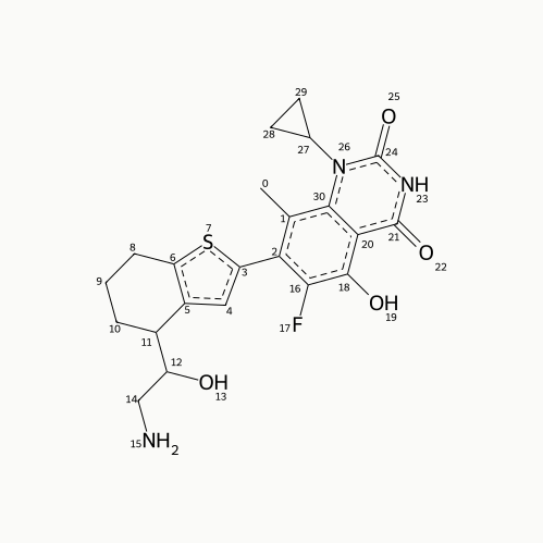 Cc1c(-c2cc3c(s2)CCCC3C(O)CN)c(F)c(O)c2c(=O)[nH]c(=O)n(C3CC3)c12